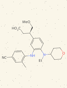 CCN(c1ccc([C@H](COC)CC(=O)O)cc1Nc1ccc(C#N)cc1C)C1CCOCC1